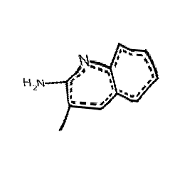 Cc1cc2ccccc2nc1N